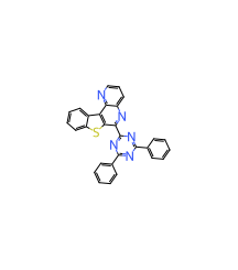 c1ccc(-c2nc(-c3ccccc3)nc(-c3nc4cccnc4c4c3sc3ccccc34)n2)cc1